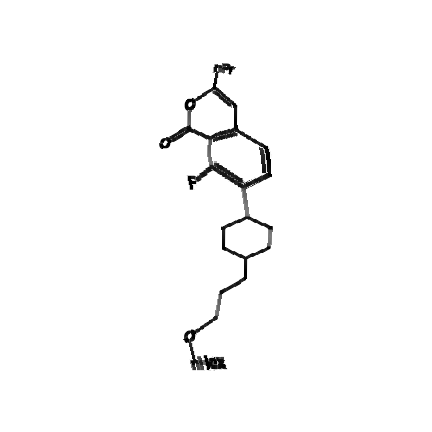 CCCCCCOCCCC1CCC(c2ccc3cc(CCC)oc(=O)c3c2F)CC1